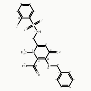 Cn1c(CNS(=O)(=O)c2ccccc2Cl)cc(=O)c(OCc2ccccc2)c1C(=O)O